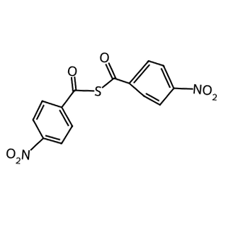 O=C(SC(=O)c1ccc([N+](=O)[O-])cc1)c1ccc([N+](=O)[O-])cc1